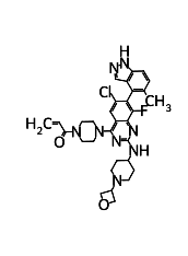 C=CC(=O)N1CCN(c2nc(NC3CCN(C4COC4)CC3)nc3c(F)c(-c4c(C)ccc5[nH]ncc45)c(Cl)cc23)CC1